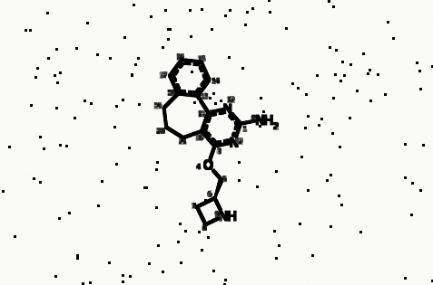 Nc1nc(OC[C@@H]2CCN2)c2c(n1)-c1ccccc1CCC2